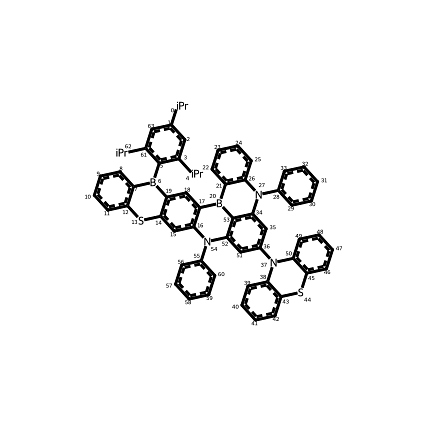 CC(C)c1cc(C(C)C)c(B2c3ccccc3Sc3cc4c(cc32)B2c3ccccc3N(c3ccccc3)c3cc(N5c6ccccc6Sc6ccccc65)cc(c32)N4c2ccccc2)c(C(C)C)c1